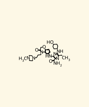 CCc1nc(C(N)=O)c(Nc2ccc3c(c2)N(CCCN2CCN(C)CC2)C(=O)CO3)nc1N[C@H]1CC[C@H](O)CC1